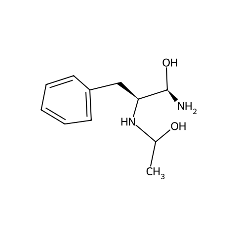 CC(O)N[C@@H](Cc1ccccc1)[C@H](N)O